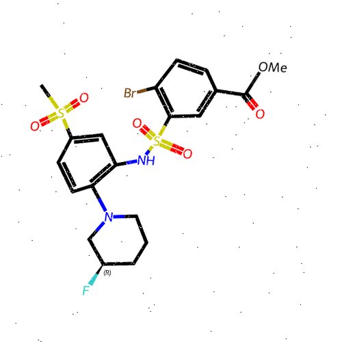 COC(=O)c1ccc(Br)c(S(=O)(=O)Nc2cc(S(C)(=O)=O)ccc2N2CCC[C@@H](F)C2)c1